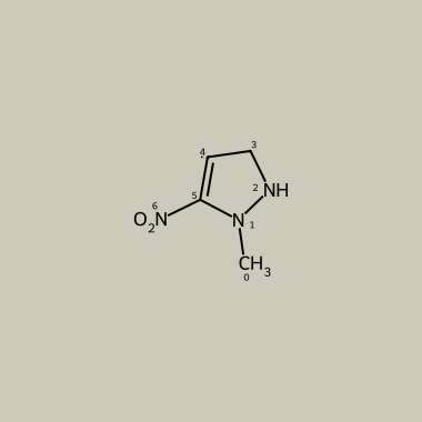 CN1NC[C]=C1[N+](=O)[O-]